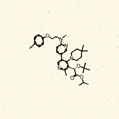 Cc1ccc(OCCN(C)c2ccc(-c3cnc(C)c([C@H](OC(C)(C)C)C(=O)OC(C)C)c3N3CCC(C)(C)CC3)cn2)cc1